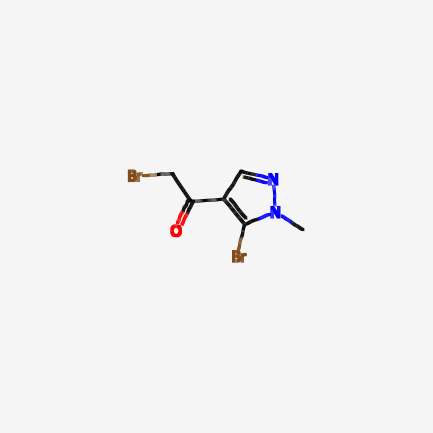 Cn1ncc(C(=O)CBr)c1Br